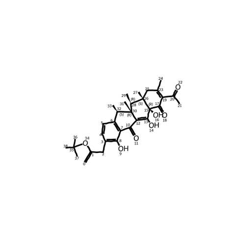 C=C(Cc1ccc2c(c1O)C(=O)C1=C(O)[C@@]3(O)C(=O)C(C(C)=O)=C(C)C[C@@]3(C)[C@H](C)[C@@]1(C)[C@@H]2C)OC(C)(C)C